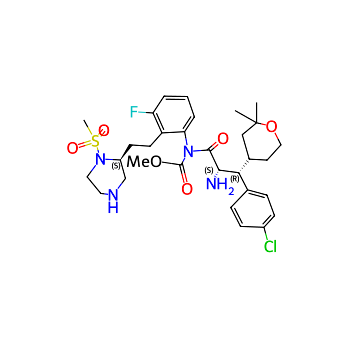 COC(=O)N(C(=O)[C@@H](N)[C@@H](c1ccc(Cl)cc1)C1CCOC(C)(C)C1)c1cccc(F)c1CC[C@H]1CNCCN1S(C)(=O)=O